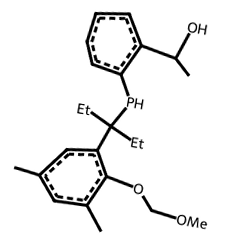 CCC(CC)(Pc1ccccc1C(C)O)c1cc(C)cc(C)c1OCOC